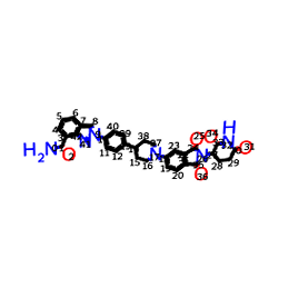 NC(=O)c1cccc2cn(-c3ccc(C4CCN(c5ccc6c(c5)C(=O)N(C5CCC(=O)NC5=O)C6=O)CC4)cc3)nc12